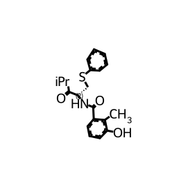 Cc1c(O)cccc1C(=O)N[C@@H](CSc1ccccc1)C(=O)C(C)C